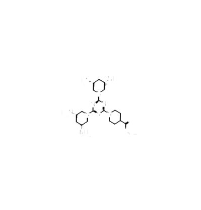 COC(=O)C1CCN(c2nc(N3C[C@H](N)C[C@H](N)C3)nc(N3C[C@H](N)C[C@H](N)C3)n2)CC1